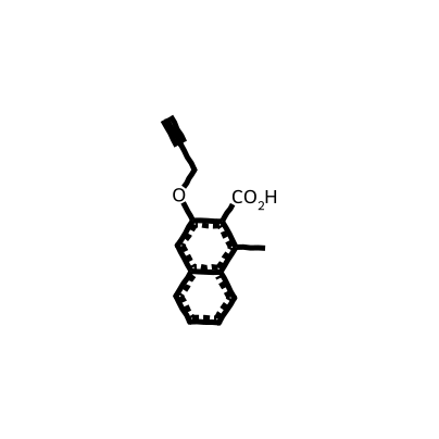 C#CCOc1cc2ccccc2c(C)c1C(=O)O